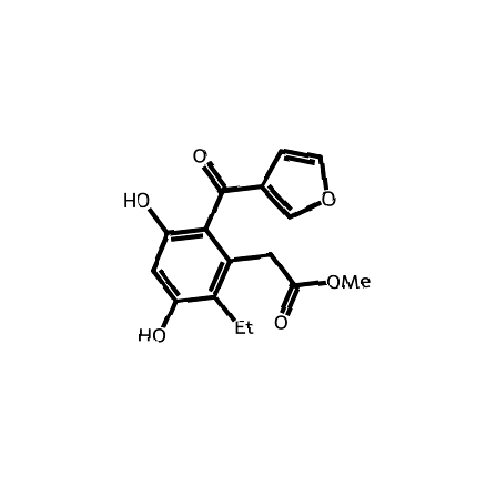 CCc1c(O)cc(O)c(C(=O)c2ccoc2)c1CC(=O)OC